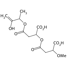 C=C(O)C(C)OC(=O)CC(OC(=O)CC(OC)C(=O)O)C(=O)O